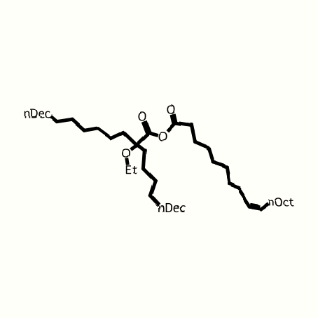 CCCCCCCC/C=C\CCCCCCCC(=O)OC(=O)C(CCCCCCCCCCCCCC)(CCCCCCCCCCCCCCCC)OCC